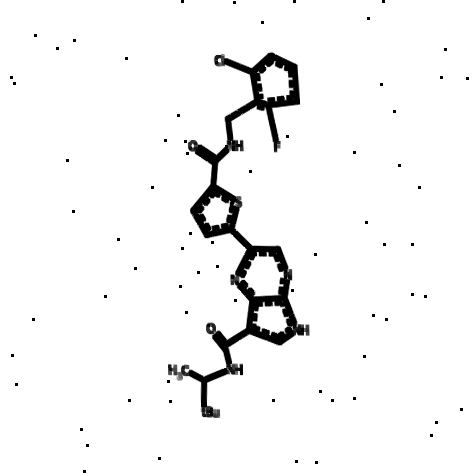 CC(NC(=O)c1c[nH]c2ncc(-c3ccc(C(=O)NCc4c(F)cccc4Cl)s3)nc12)C(C)(C)C